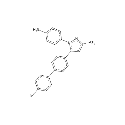 Nc1ccc(-n2nc(C(F)(F)F)cc2-c2ccc(-c3ccc(Br)cc3)cc2)cc1